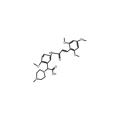 COc1cc(OC)c(/C=C/C(=O)Nc2ccc(OC)c(C(C(=O)O)N3CCN(C)CC3)c2)c(OC)c1